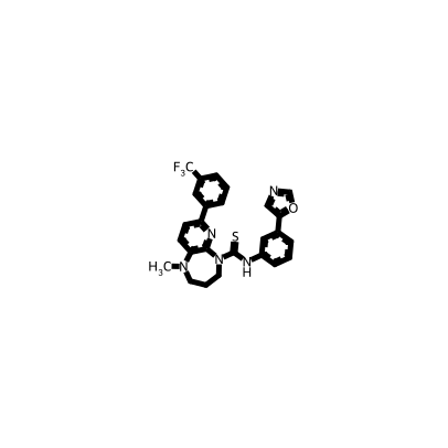 CN1CCCN(C(=S)Nc2cccc(-c3cnco3)c2)c2nc(-c3cccc(C(F)(F)F)c3)ccc21